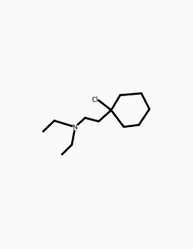 CCN(CC)CCC1(Cl)CCCCC1